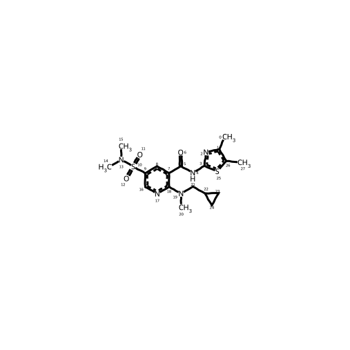 Cc1nc(NC(=O)c2cc(S(=O)(=O)N(C)C)cnc2N(C)CC2CC2)sc1C